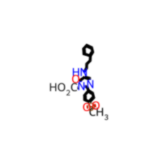 CS(=O)(=O)c1ccc(-c2ncc(NCCCc3ccccc3)c(=O)n2CC(=O)O)cc1